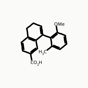 COc1cccc(C)c1C1=CCCc2ccc(C(=O)O)cc21